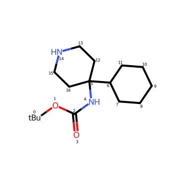 CC(C)(C)OC(=O)NC1(C2CCCCC2)CCNCC1